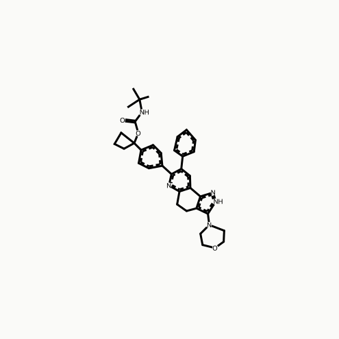 CC(C)(C)NC(=O)OC1(c2ccc(-c3nc4c(cc3-c3ccccc3)-c3n[nH]c(N5CCOCC5)c3CC4)cc2)CCC1